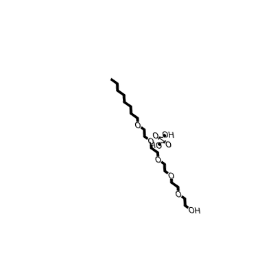 CCCCCCCCOCCOCCOCCOCCOCCO.O=S(=O)(O)O